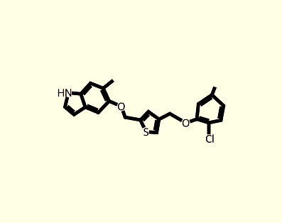 Cc1ccc(Cl)c(OCc2csc(COc3cc4cc[nH]c4cc3C)c2)c1